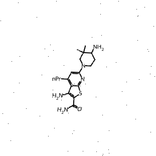 CCCc1cc(N2CCC(N)C(C)(C)C2)nc2sc(C(N)=O)c(N)c12